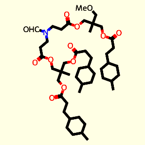 COCC(C)(COC(=O)CCC1CCC(C)CC1)COC(=O)CCN(C=O)CCC(=O)OCC(C)(COC(=O)CCC1CCC(C)CC1)COC(=O)CCC1CCC(C)CC1